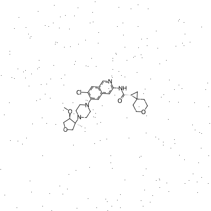 CO[C@@H]1COC[C@]1(C)N1CCN(c2cc3cc(NC(=O)[C@@H]4CC45CCOCC5)ncc3cc2Cl)CC1